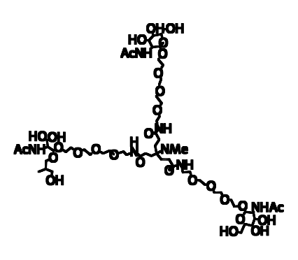 CNC(CCC(=O)NCCOCCOCCOCCOC(OCC(C)CO)C(NC(C)=O)C(O)O)(CCC(=O)NCCOCCOCCOCCOC1OC(CO)C(O)C(O)C1NC(C)=O)CCC(=O)NCCOCCOCCOCCOC1O[C@@H](CO)C(O)C(O)C1NC(C)=O